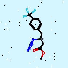 COC(=O)C[C@@H](Cc1ccc(C(F)(F)F)cc1)N=[N+]=[N-]